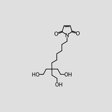 O=C1C=CC(=O)N1CCCCCCC(CCO)(CCO)CCO